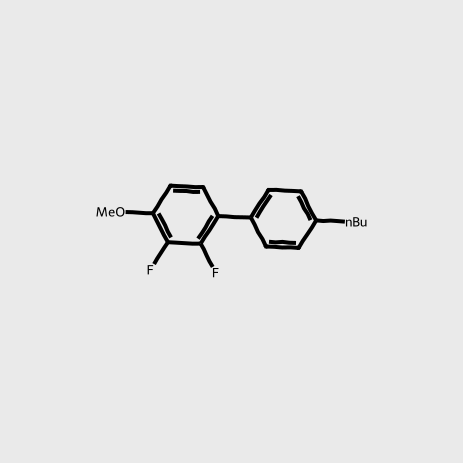 CCCCc1ccc(-c2ccc(OC)c(F)c2F)cc1